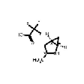 O=C(O)C(F)(F)F.O=C(O)[C@H]1C[C@H]2C[C@H]2N1